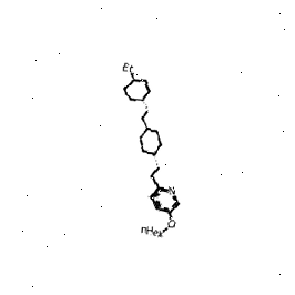 CCCCCCOc1ccc(CC[C@H]2CC[C@H](CC[C@H]3CC[C@H](CC)CC3)CC2)nc1